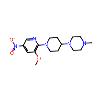 COc1cc([N+](=O)[O-])cnc1N1CCC(N2CCN(C)CC2)CC1